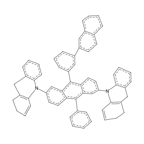 C1=CC2=C(CC1)Cc1ccccc1N2c1ccc2c(-c3cccc(-c4ccc5ccccc5c4)c3)c3cc(N4C5=C(CCC=C5)Cc5ccccc54)ccc3c(-c3ccccc3)c2c1